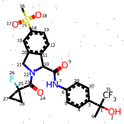 CC(O)(c1ccc(NC(=O)C2c3ccc(S(C)(=O)=O)cc3CN2C(=O)C2(F)CC2)cc1)C(F)(F)F